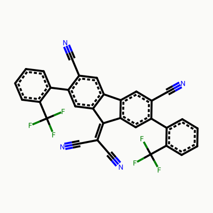 N#CC(C#N)=C1c2cc(-c3ccccc3C(F)(F)F)c(C#N)cc2-c2cc(C#N)c(-c3ccccc3C(F)(F)F)cc21